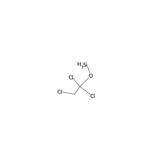 [SiH3]OC(Cl)(Cl)CCl